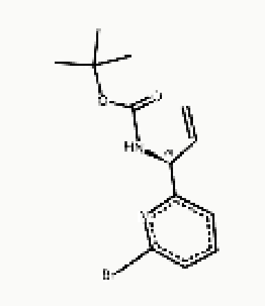 C=C[C@H](NC(=O)OC(C)(C)C)c1cccc(Br)n1